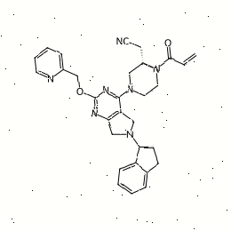 C=CC(=O)N1CCN(c2nc(OCc3ccccn3)nc3c2CN(C2CCc4ccccc42)C3)C[C@@H]1CC#N